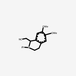 COc1cc2c(cc1OC)C(CC#N)N(C(C)C)CC2